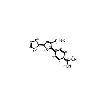 CCCCCCc1cc(=C2SC=CS2)sc1=c1ccc(=C(C#N)C#N)cc1